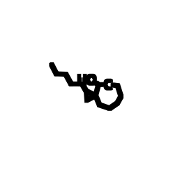 CCCCCC1CC12CCCCCCC2O